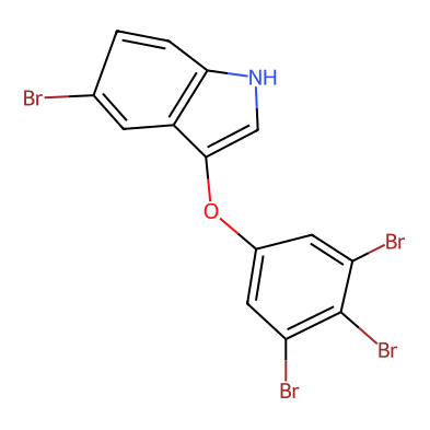 Brc1ccc2[nH]cc(Oc3cc(Br)c(Br)c(Br)c3)c2c1